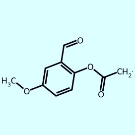 [CH2]C(=O)Oc1ccc(OC)cc1C=O